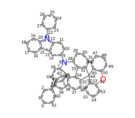 c1ccc(-c2ccc(N(c3ccc4c(c3)c3ccccc3n4-c3ccccc3)c3cccc4c3-c3c(ccc5ccccc35)C43c4ccccc4Oc4ccccc43)cc2)cc1